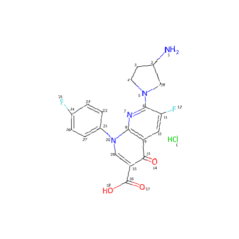 Cl.NC1CCN(c2nc3c(cc2F)c(=O)c(C(=O)O)cn3-c2ccc(F)cc2)C1